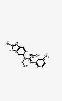 CC(C)CN(/C(=N/c1cccc(C(F)(F)F)c1)NC#N)c1ccc2nc(S)sc2c1